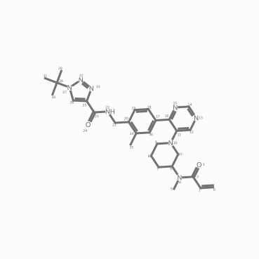 C=CC(=O)N(C)C1CCCN(c2cncnc2-c2ccc(CNC(=O)c3cn(C(C)(C)C)nn3)c(C)c2)C1